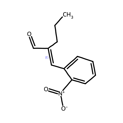 CCC/C(C=O)=C\c1ccccc1[N+](=O)[O-]